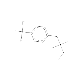 CCC(C)(C)Cc1ccc(C(F)(F)F)cc1